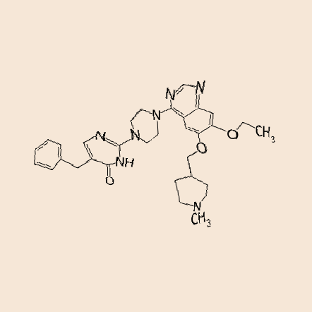 CCOc1cc2ncnc(N3CCN(c4ncc(Cc5ccccc5)c(=O)[nH]4)CC3)c2cc1OCC1CCN(C)CC1